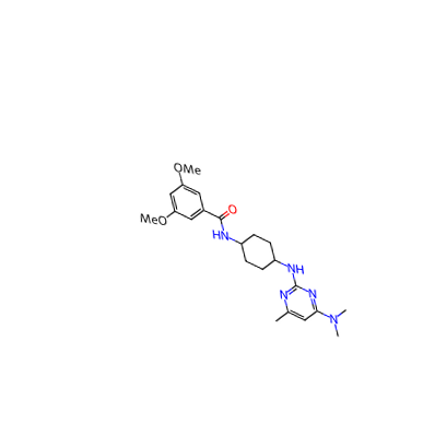 COc1cc(OC)cc(C(=O)NC2CCC(Nc3nc(C)cc(N(C)C)n3)CC2)c1